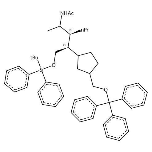 CCC[C@H](C(C)NC(C)=O)[C@H](CO[Si](c1ccccc1)(c1ccccc1)C(C)(C)C)C1CCC(COC(c2ccccc2)(c2ccccc2)c2ccccc2)C1